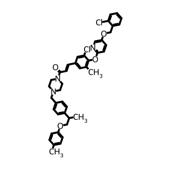 Cc1ccc(OCC(C)c2ccc(CN3CCN(C(=O)/C=C/c4cc(C)c(Oc5ccc(OCc6ccccc6Cl)cn5)c(Cl)c4)CC3)cc2)cc1